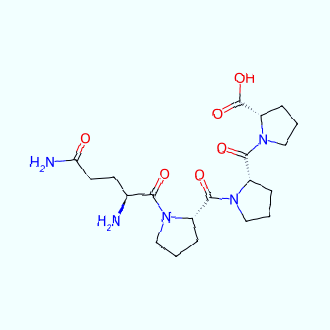 NC(=O)CC[C@H](N)C(=O)N1CCC[C@H]1C(=O)N1CCC[C@H]1C(=O)N1CCC[C@H]1C(=O)O